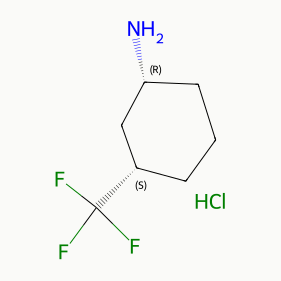 Cl.N[C@@H]1CCC[C@H](C(F)(F)F)C1